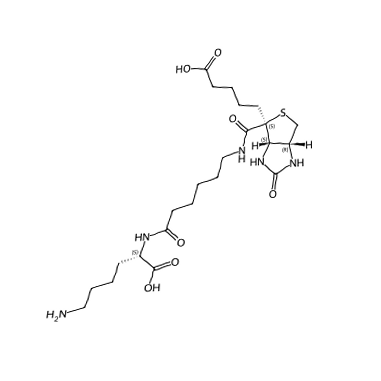 NCCCC[C@H](NC(=O)CCCCCNC(=O)[C@@]1(CCCCC(=O)O)SC[C@@H]2NC(=O)N[C@@H]21)C(=O)O